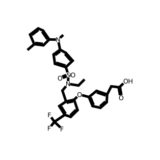 CCN(Cc1cc(C(F)(F)F)ccc1Oc1cccc(CC(=O)O)c1)S(=O)(=O)c1ccc(N(C)c2cccc(C)c2)cc1